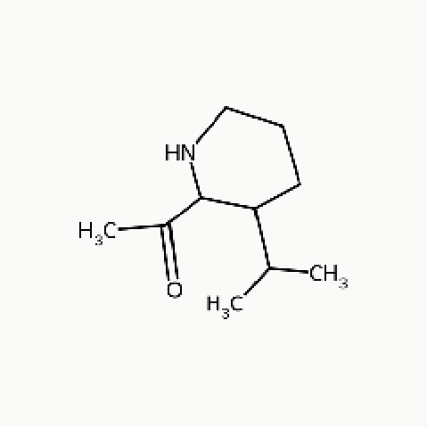 CC(=O)C1NCCCC1C(C)C